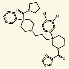 O=C(c1ccco1)N1CCCC(CCCN2CCC(C(=O)N3CCCC3)(c3ccccc3)CC2)(c2ccc(Cl)c(Cl)c2)C1